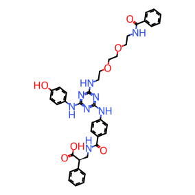 O=C(NCCOCCOCCNc1nc(Nc2ccc(O)cc2)nc(Nc2ccc(C(=O)NC[C@H](C(=O)O)c3ccccc3)cc2)n1)c1ccccc1